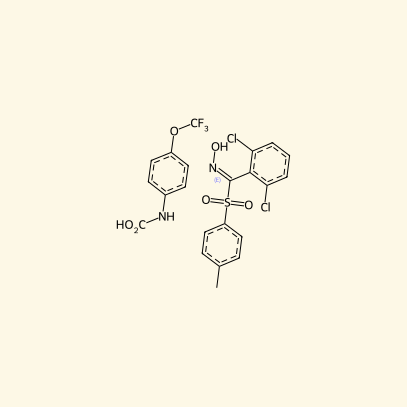 Cc1ccc(S(=O)(=O)/C(=N/O)c2c(Cl)cccc2Cl)cc1.O=C(O)Nc1ccc(OC(F)(F)F)cc1